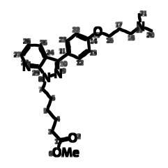 COC(=O)CCCCCn1nc(-c2ccc(OCCCN(C)C)cc2)c2cccnc21